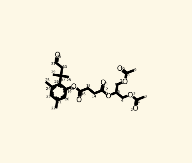 CC(=O)OCC(COC(C)=O)OC(=O)CCC(=O)Oc1cc(C)cc(C)c1C(C)(C)CC=O